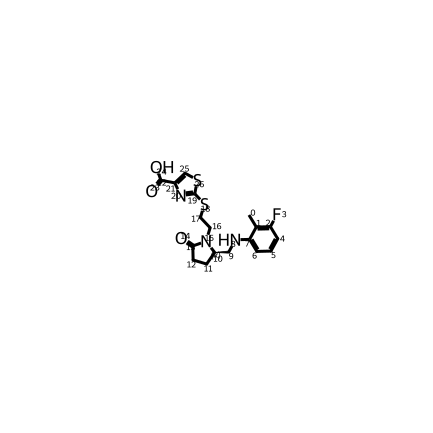 Cc1c(F)cccc1NC[C@H]1CCC(=O)N1CCSc1nc(C(=O)O)cs1